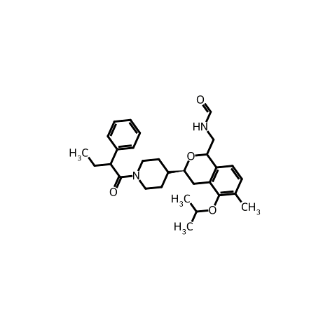 CCC(C(=O)N1CCC([C@@H]2Cc3c(ccc(C)c3OC(C)C)C(CNC=O)O2)CC1)c1ccccc1